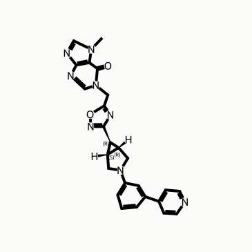 Cn1cnc2ncn(Cc3nc([C@H]4[C@@H]5CN(c6cccc(-c7ccncc7)c6)C[C@@H]54)no3)c(=O)c21